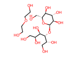 OCCOCCO.OC[C@@H](O)[C@@H](O[C@H]1O[C@H](CO)[C@@H](O)[C@H](O)[C@H]1O)[C@H](O)[C@@H](O)CO